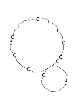 C1CCCCCCCCCCC[C]2CCCCCCCCCCC2CCCCCCCCCCC1